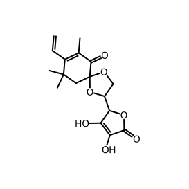 C=CC1=C(C)C(=O)C2(CC1(C)C)OCC(C1OC(=O)C(O)=C1O)O2